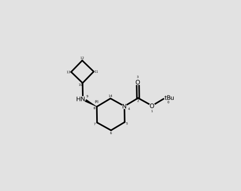 CC(C)(C)OC(=O)N1CCC[C@@H](NC2CCC2)C1